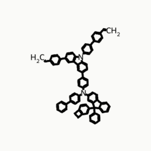 C=Cc1ccc(-c2ccc(-n3c4ccc(-c5ccc(C=C)cc5)cc4c4cc(-c5ccc(N(c6ccc(-c7ccccc7)cc6)c6ccc7c(c6)C(c6ccccc6)(c6ccc8c(c6)CC8)c6ccccc6-7)cc5)ccc43)cc2)cc1